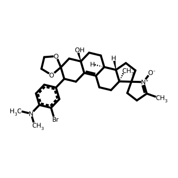 CC1=[N+]([O-])C2(CC1)CC[C@H]1[C@@H]3CC[C@@]4(O)CC5(OCCO5)C(c5ccc(N(C)C)c(Br)c5)CC4=C3CC[C@@]12C